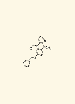 CN(c1ccc(OCc2ccccc2)cc1)c1ncccc1NC=O